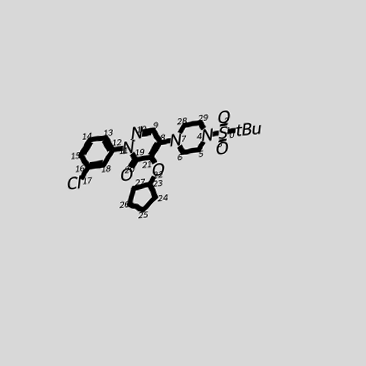 CC(C)(C)S(=O)(=O)N1CCN(c2cnn(-c3cccc(Cl)c3)c(=O)c2OC2CCCC2)CC1